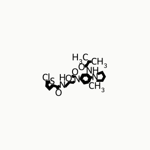 Cc1cc(N2CC(CNC(=O)c3ccc(Cl)s3)OC2=O)cc(NC(=O)C(C)C)c1N1CCCCC1